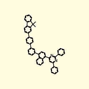 CC1(C)c2ccccc2-c2ccc(-c3ccc(-c4cccc(-c5ccc(-c6cc(-c7ccccc7)nc(-c7ccccc7)n6)c6ccccc56)c4)cc3)cc21